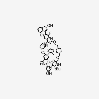 CCc1cccc2cc(O)cc(-c3ncc4c(N5CC6CCC(C5)N6)nc(OCCN5CCC(COCC(=O)NC(C(=O)N6C[C@H](O)C[C@H]6C(=O)NC(C)c6ccc(-c7scnc7C)c(Cl)c6)C(C)(C)C)CC5)nc4c3F)c12